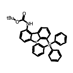 CC(C)(C)OC(=O)Nc1cccc2sc3c([Si](c4ccccc4)(c4ccccc4)c4ccccc4)cccc3c12